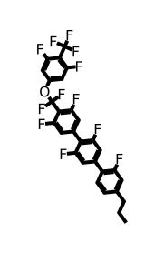 CCCc1ccc(-c2cc(F)c(-c3cc(F)c(C(F)(F)Oc4cc(F)c(C(F)(F)F)c(F)c4)c(F)c3)c(F)c2)c(F)c1